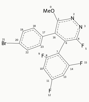 COc1nnc(F)c(-c2c(F)cc(F)cc2F)c1-c1ccc(Br)cc1